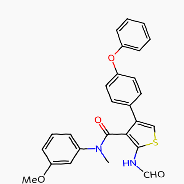 COc1cccc(N(C)C(=O)c2c(-c3ccc(Oc4ccccc4)cc3)csc2NC=O)c1